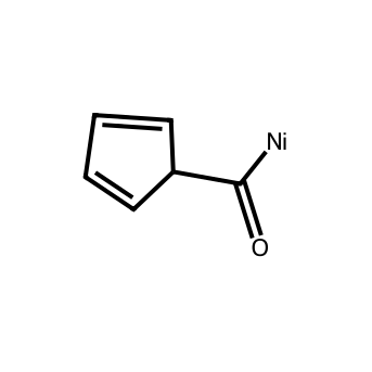 O=[C]([Ni])C1C=CC=C1